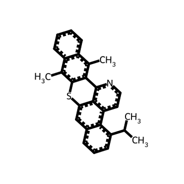 Cc1c2c(c(C)c3ccccc13)-c1nccc3c1c(cc1cccc(C(C)C)c13)S2